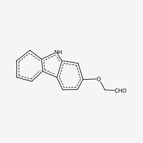 O=CCOc1ccc2c(c1)[nH]c1ccccc12